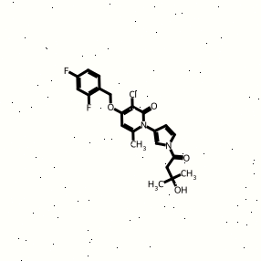 Cc1cc(OCc2ccc(F)cc2F)c(Cl)c(=O)n1-c1ccn(C(=O)CC(C)(C)O)c1